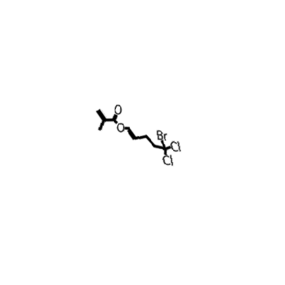 C=C(C)C(=O)OC=CCCC(Cl)(Cl)Br